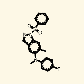 Cc1cc2c(cnn2S(=O)(=O)c2ccccc2)cc1N(C)c1ccc(F)cc1